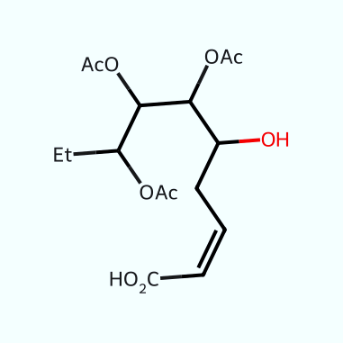 CCC(OC(C)=O)C(OC(C)=O)C(OC(C)=O)C(O)C/C=C\C(=O)O